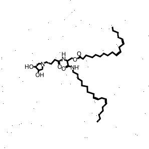 CCCC/C=C\C/C=C\CCCCCCCCC(=O)OCC(NC(=O)CCCN1CC(O)C(O)C1)C(=O)NCCCCCCCC/C=C\C/C=C\CCCCC